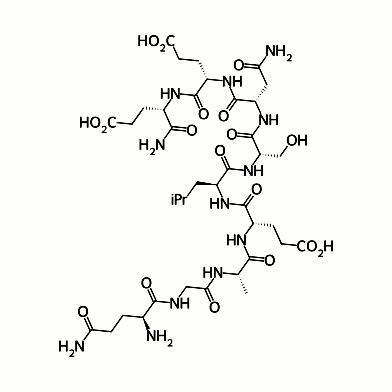 CC(C)C[C@H](NC(=O)[C@H](CCC(=O)O)NC(=O)[C@H](C)NC(=O)CNC(=O)[C@@H](N)CCC(N)=O)C(=O)N[C@@H](CO)C(=O)N[C@@H](CC(N)=O)C(=O)N[C@@H](CCC(=O)O)C(=O)N[C@@H](CCC(=O)O)C(N)=O